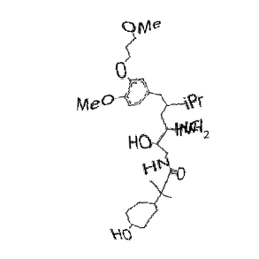 COCCCOc1cc(CC(CC(N)C(O)CNC(=O)C(C)(C)C2CCC(O)CC2)C(C)C)ccc1OC.Cl